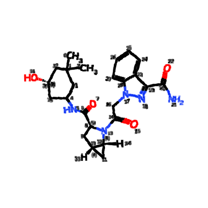 CC1(C)CC(NC(=O)[C@@H]2C[C@H]3C[C@H]3N2C(=O)Cn2nc(C(N)=O)c3ccccc32)C[C@H](O)C1